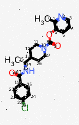 Cc1ncccc1OC(=O)N1CCC([C@@H](C)NC(=O)c2ccc(Cl)cc2)CC1